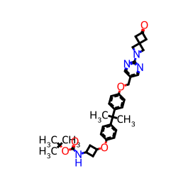 CC(C)(C)OC(=O)NC1CC(Oc2ccc(C(C)(C)c3ccc(OCc4cnc(N5CC6(CC(=O)C6)C5)nc4)cc3)cc2)C1